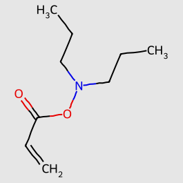 C=CC(=O)ON(CCC)CCC